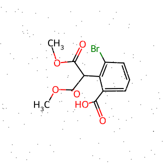 COC(=O)C(C(=O)OC)c1c(Br)cccc1C(=O)O